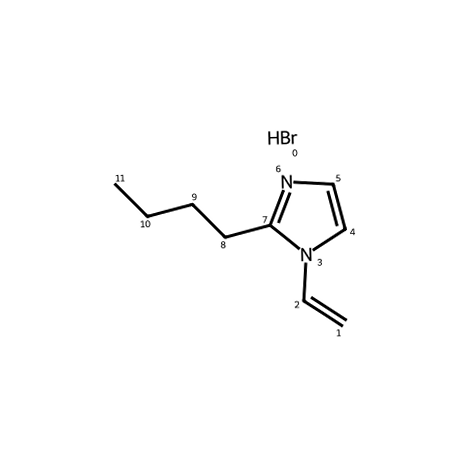 Br.C=Cn1ccnc1CCCC